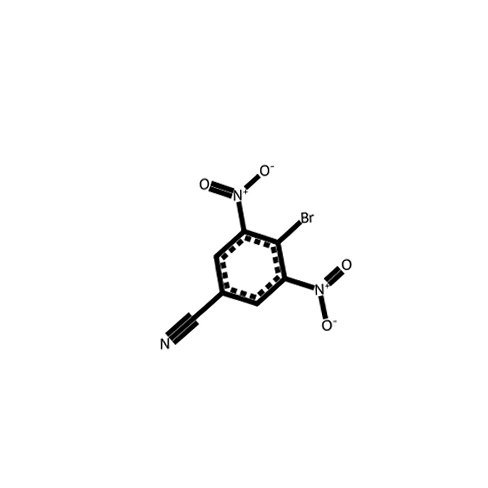 N#Cc1cc([N+](=O)[O-])c(Br)c([N+](=O)[O-])c1